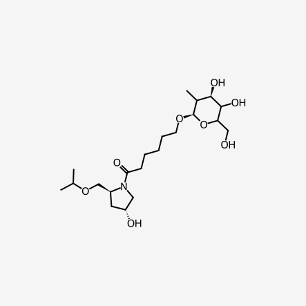 CC(C)OC[C@@H]1C[C@@H](O)CN1C(=O)CCCCCO[C@@H]1OC(CO)C(O)[C@H](O)C1C